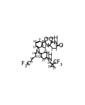 O=C1CCC(N2Cc3c(cccc3N(CCCCC(F)(F)F)C3CCC(NCC4(C(F)(F)F)CC4)CC3)C2=O)C(=O)N1